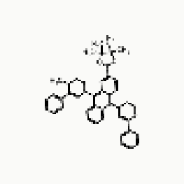 CC1CC=C(c2c3ccccc3c(C3C=C(c4ccccc4)C=CC3)c3ccc(B4OC(C)(C)C(C)(C)O4)cc23)C=C1c1ccccc1